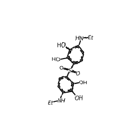 CCNc1ccc(S(=O)(=O)c2ccc(NCC)c(O)c2O)c(O)c1O